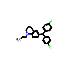 CCCN1CCCc2cc(C(c3ccc(Cl)cc3)c3ccc(Cl)cc3)ccc21